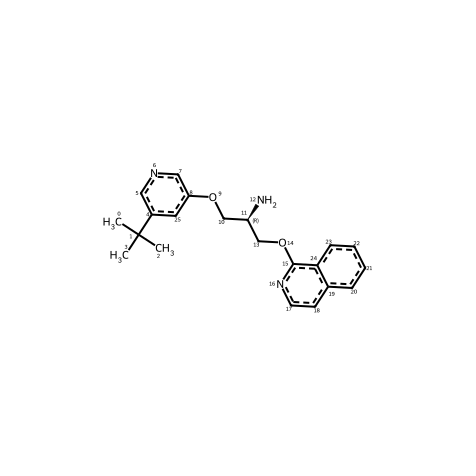 CC(C)(C)c1cncc(OC[C@@H](N)COc2nccc3ccccc23)c1